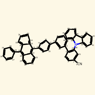 N#Cc1ccc(-c2cccc(-c3ccc(-c4c5ccccc5c(-c5ccccc5)c5ccccc45)cc3)c2)c(-n2c3ccccc3c3ccccc32)c1